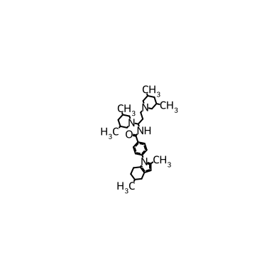 Cc1cc2c(n1-c1ccc(C(=O)NC(CCN3CC(C)CC(C)C3)N3CC(C)CC(C)C3)cc1)CCC(C)C2